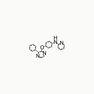 c1ccc(-c2nccnc2Oc2ccc(Nc3ccccn3)cc2)cc1